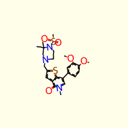 COc1ccc(-c2cn(C)c(=O)c3cc(CN4CCN(S(C)(=O)=O)C(C)(C)C4)sc23)cc1OC